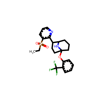 CCS(=O)(=O)c1cccnc1C1CCC2(Oc3ccccc3C(F)(F)F)CCCC1N2